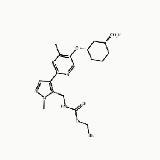 CCC(C)COC(=O)NCc1c(-c2ncc(O[C@H]3CCC[C@H](C(=O)O)C3)c(C)n2)cnn1C